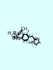 COc1cc(CC2=NCCN2)ccc1NS(C)(=O)=O